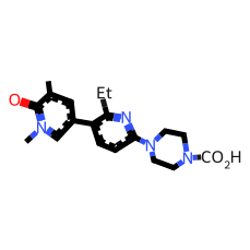 CCc1nc(N2CCN(C(=O)O)CC2)ccc1-c1cc(C)c(=O)n(C)c1